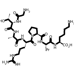 CC(C)[C@H](NC(=O)[C@@H]1CCCN1C(=O)[C@H](CCCNC(=N)N)NC(=O)[C@H](C)NC(=O)[C@@H](NC(=O)CN)[C@@H](C)O)C(=O)N[C@@H](CCCCN)C(=O)O